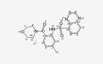 Cc1ccc(C(=O)N2CCOC[C@H]2C)c(NS(=O)(=O)c2cccc3nccnc23)c1